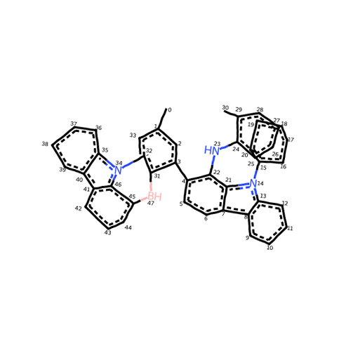 Cc1cc(-c2ccc3c4ccccc4n(-c4ccccc4)c3c2Nc2ccccc2C)c2c(c1)-n1c3ccccc3c3cccc(c31)B2